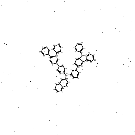 c1ccc(-c2ccc(-c3ccc(N(c4cccc(-c5ccc6c(c5)c5ccccc5n6-c5ccccc5)c4)c4ccc5ccccc5c4)cc3)cc2-c2ccccc2)cc1